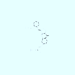 COc1ccccc1C=C1CCc2c1oc1cc(OCC(=O)O)ccc1c2=O